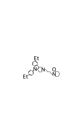 CCc1ccc(-n2c3c(c4cc(CC)ccc42)CN(CCCCN2CCCCC2=O)CC3)cc1